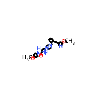 CCOc1cncc(C#Cc2ccccc2CN2CCN(c3ccc(C(=O)Nc4ccc(OC)cc4)nn3)CC2)c1